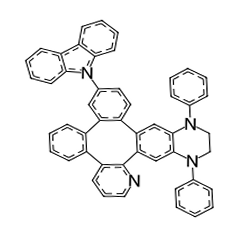 c1ccc(N2CCN(c3ccccc3)c3cc4c(cc32)-c2ccc(-n3c5ccccc5c5ccccc53)cc2-c2ccccc2-c2cccnc2-4)cc1